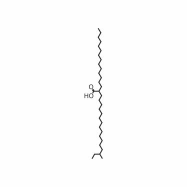 CCCCCCCCCCCCCCC(CCCCCCCCCCCCCC(C)CC)C(=O)O